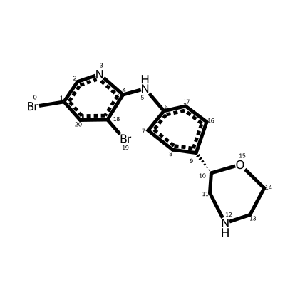 Brc1cnc(Nc2ccc([C@H]3CNCCO3)cc2)c(Br)c1